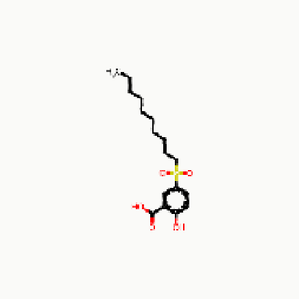 CCCCCCCCCCS(=O)(=O)c1ccc(O)c(C(=O)O)c1